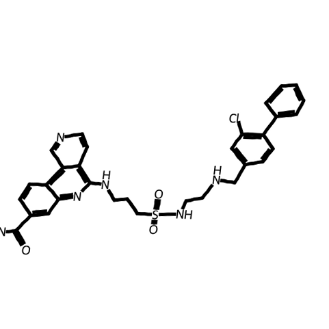 NC(=O)c1ccc2c(c1)nc(NCCCS(=O)(=O)NCCNCc1ccc(-c3ccccc3)c(Cl)c1)c1ccncc12